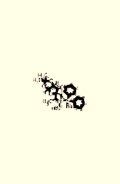 CCCCO[C@@H](C)[C@]1(CO[Si](c2ccccc2)(c2ccccc2)C(C)(C)C)O[C@@H]2OC(C)(C)O[C@@H]2[C@H]1O